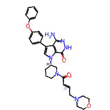 Nc1n[nH]c(=O)c2c1c(-c1ccc(Oc3ccccc3)cc1)cn2[C@@H]1CCCN(C(=O)/C=C/CN2CCOCC2)C1